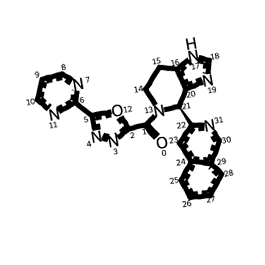 O=C(c1nnc(-c2ncccn2)o1)N1CCc2[nH]cnc2[C@H]1c1cc2ccccc2cn1